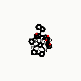 N#Cc1c(-n2c3ccccc3c3ccccc32)c(C#N)c(-n2c3ccccc3c3ccccc32)c(-n2c3cccc(-c4cccc5ccccc45)c3c3ccc4oc5ccccc5c4c32)c1-n1c2ccccc2c2ccccc21